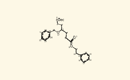 CCCCCCCCCCCCC(CCC(=O)OCCc1ccccc1)OCc1ccccc1